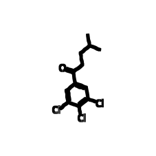 CC(C)CCC(=O)c1cc(Cl)c(Cl)c(Cl)c1